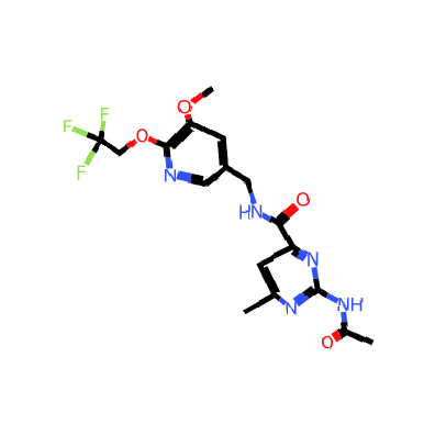 COc1cc(CNC(=O)c2cc(C)nc(NC(C)=O)n2)cnc1OCC(F)(F)F